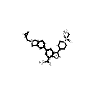 CCS(=O)(=O)N1CCC(C2CNc3c(C(N)=O)cc(-c4ccc5c(c4)CN(CC4CC4)C5)cc32)CC1